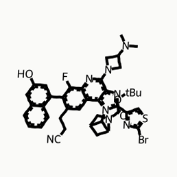 CN(C)C1CN(c2nc3c(F)c(-c4cc(O)cc5ccccc45)c(CCC#N)cc3c3c2nc(-c2csc(Br)n2)n3C2C3CC2N(C(=O)OC(C)(C)C)C3)C1